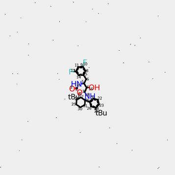 CC(C)(C)OC(=O)NC(Cc1cc(F)cc(F)c1)C(O)CNC1(c2cccc(C(C)(C)C)c2)CCCCC1